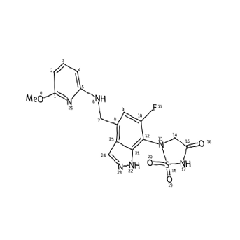 COc1cccc(NCc2cc(F)c(N3CC(=O)NS3(=O)=O)c3[nH]ncc23)n1